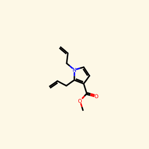 C=CCc1c(C(=O)OC)ccn1CC=C